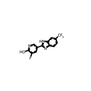 Oc1ncc(-c2nc3ccc(C(F)(F)F)cc3[nH]2)cc1F